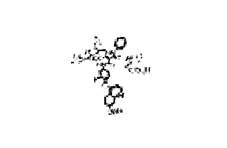 COc1ccc2c(Oc3ccc(NC(=O)c4c(C)n(CC(C)OC(=O)CN(C)C)n(-c5ccccc5)c4=O)cc3F)ccnc2c1.O=C(O)C=CC(=O)O